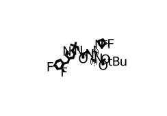 C[C@@H]1CN(CC(=O)N2CC(C)(C)c3ncc(Cc4ccc(F)cc4F)cc32)[C@@H](CN2CC[C@H](F)C2)CN1C(=O)OC(C)(C)C